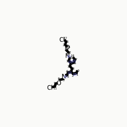 C\C=C/C(=C\C=N\CCOCCCl)CCC(/C=C\C)=C/C=N/CCOCCCl